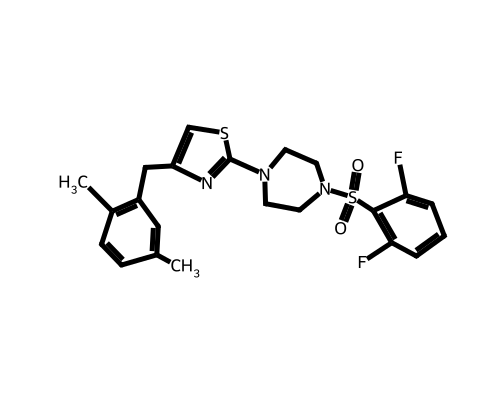 Cc1ccc(C)c(Cc2csc(N3CCN(S(=O)(=O)c4c(F)cccc4F)CC3)n2)c1